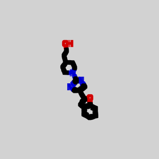 OCCC1CCN(c2ncc(-c3cc4ccccc4o3)cn2)CC1